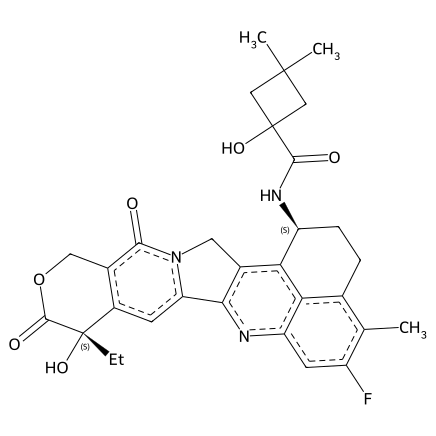 CC[C@@]1(O)C(=O)OCc2c1cc1n(c2=O)Cc2c-1nc1cc(F)c(C)c3c1c2[C@@H](NC(=O)C1(O)CC(C)(C)C1)CC3